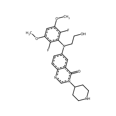 COc1cc(OC)c(F)c(N(CCO)c2ccc3ncn(C4CCNCC4)c(=O)c3c2)c1F